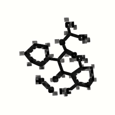 Cc1cccc(C)c1C(=O)C(C(=O)OC(C)C)c1ccccc1.O=P